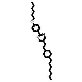 CCCCCCCC1CCC(CCc2cnc(-c3ccc(OCCCCCC)cc3)nc2)CC1